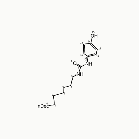 CCCCCCCCCCCCCCCCNC(=O)Nc1ccc(O)cc1